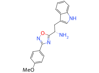 COc1ccc(-c2noc([C@@H](N)Cc3c[nH]c4ccccc34)n2)cc1